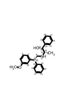 COc1cccc([P@@](CN[C@@H](C)[C@H](O)c2ccccc2)c2ccccc2)c1